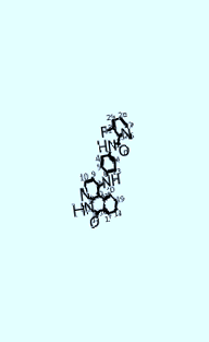 O=C(Nc1ccc(Nc2ccnc3[nH]c(=O)c4ccccc4c23)cc1)c1ncccc1F